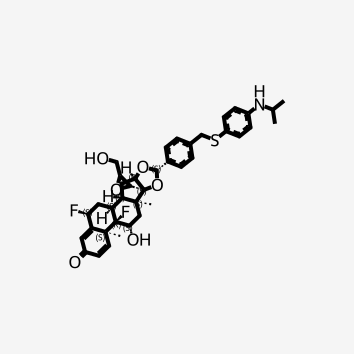 CC(C)Nc1ccc(SCc2ccc([C@H]3O[C@@H]4C[C@H]5[C@@H]6C[C@H](F)C7=CC(=O)C=C[C@]7(C)[C@@]6(F)[C@@H](O)C[C@]5(C)[C@]4(C4OC4CO)O3)cc2)cc1